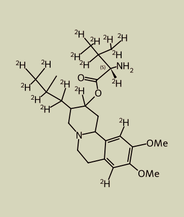 [2H]c1c2c(c([2H])c(OC)c1OC)C1CC([2H])(OC(=O)[C@@]([2H])(N)C([2H])(C([2H])([2H])[2H])C([2H])([2H])[2H])C(C([2H])([2H])C([2H])(C)C([2H])([2H])[2H])CN1CC2